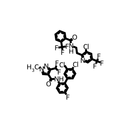 Cn1cc(C(=O)Nc2ccc(F)cc2-c2ccc(Cl)c(Cl)c2)c(C(F)F)n1.O=C(NCCc1ncc(C(F)(F)F)cc1Cl)c1ccccc1C(F)(F)F